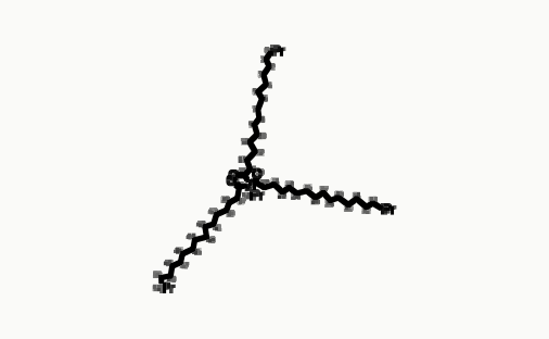 CC(C)CCCCCCCCCCCCCC[C](=O)[Zr]([C](=O)CCCCCCCCCCCCCCC(C)C)([C](=O)CCCCCCCCCCCCCCC(C)C)[CH](C)C